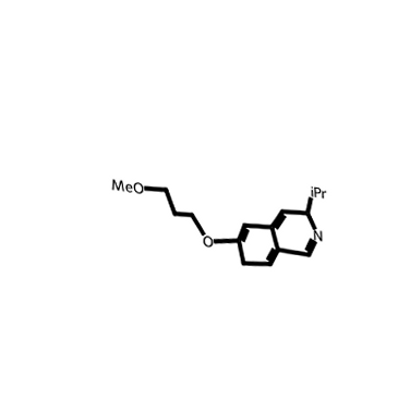 COCCCOC1=CC2=CC(C(C)C)N=CC2=CC1